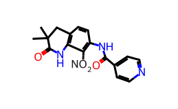 CC1(C)Cc2ccc(NC(=O)c3ccncc3)c([N+](=O)[O-])c2NC1=O